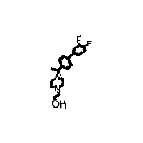 CC(c1ccc(-c2ccc(F)c(F)c2)cc1)N1CCN(CCO)CC1